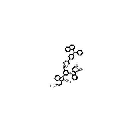 C#Cc1c(/C=C\C)n(-c2cc(/C=C/N=C\C(=C/C)c3ccc(N(c4ccccc4)c4cccc5ccccc45)cc3)cc(-n3c(C)c(/C=C\C=C)c4c3C=CCC4)c2)c2ccc#cc12